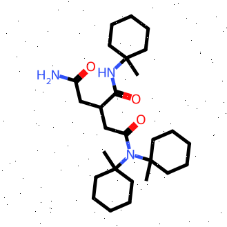 CC1(NC(=O)C(CC(N)=O)CC(=O)N(C2(C)CCCCC2)C2(C)CCCCC2)CCCCC1